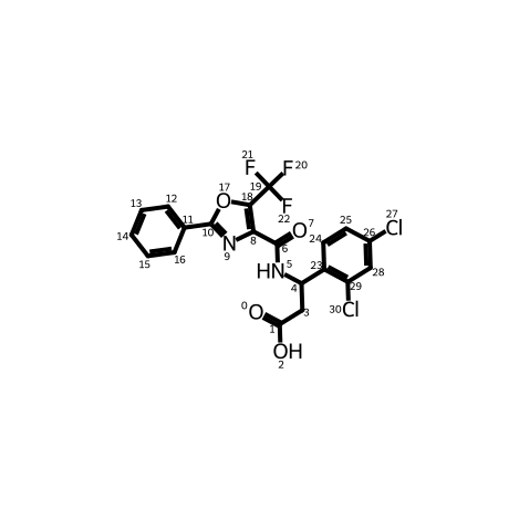 O=C(O)CC(NC(=O)c1nc(-c2ccccc2)oc1C(F)(F)F)c1ccc(Cl)cc1Cl